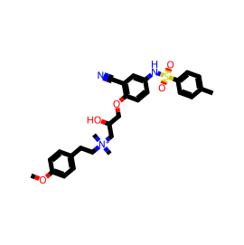 COc1ccc(CC[N+](C)(C)CC(O)COc2ccc(NS(=O)(=O)c3ccc(C)cc3)cc2C#N)cc1